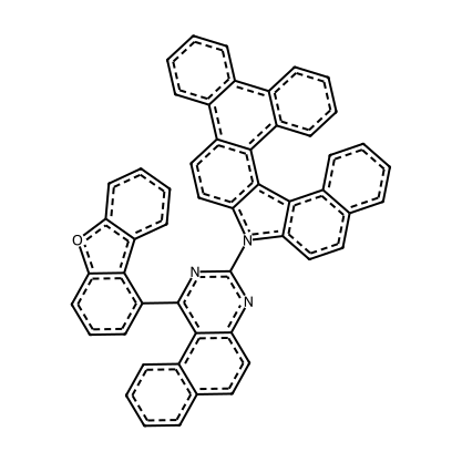 c1ccc2c(c1)ccc1nc(-n3c4ccc5ccccc5c4c4c5c6ccccc6c6ccccc6c5ccc43)nc(-c3cccc4oc5ccccc5c34)c12